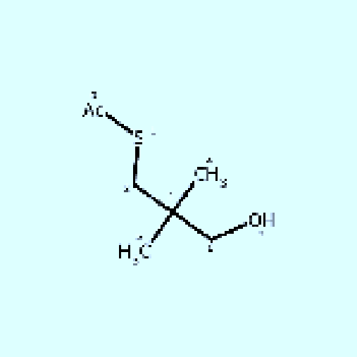 CC(=O)SCC(C)(C)CO